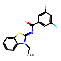 O=C(O)Cn1/c(=N/C(=O)c2cc(F)cc(F)c2)sc2ccccc21